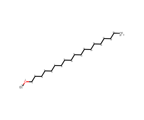 CCOCCCCCCCCCCCCCCCCCCC(F)(F)F